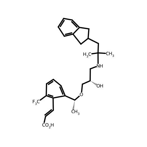 C[C@@H](OC[C@@H](O)CNC(C)(C)CC1Cc2ccccc2C1)c1cccc(C(F)(F)F)c1/C=C/C(=O)O